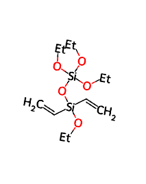 C=C[Si](C=C)(OCC)O[Si](OCC)(OCC)OCC